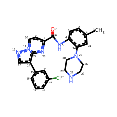 Cc1ccc(NC(=O)c2ccn3ncc(-c4cccc(Cl)c4)c3n2)c(N2CCNCC2)c1